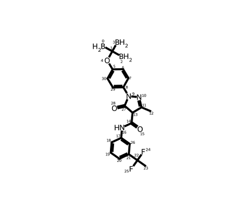 BC(B)(B)Oc1ccc(N2N=C(C)C(C(=O)Nc3cccc(C(C)(F)F)c3)C2=O)cc1